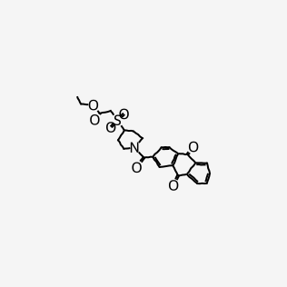 CCOC(=O)CS(=O)(=O)C1CCN(C(=O)c2ccc3c(c2)C(=O)c2ccccc2C3=O)CC1